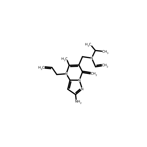 C=CCN1C(C)=C(CN(C=C)C(C)C)C(=C)n2nc(N)cc21